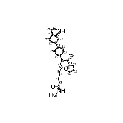 O=C(CCCCCCN(C(=O)c1ccco1)c1ccc(-c2ccc3cc[nH]c3c2)cc1)NO